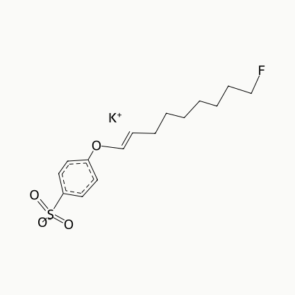 O=S(=O)([O-])c1ccc(OC=CCCCCCCCF)cc1.[K+]